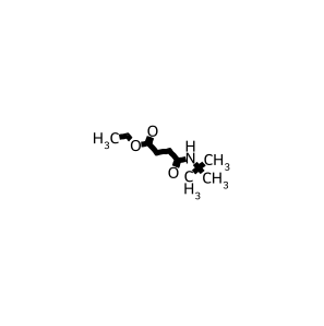 CCOC(=O)CCC(=O)NC(C)(C)C